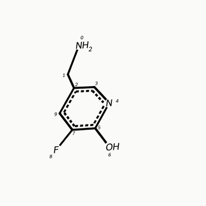 NCc1cnc(O)c(F)c1